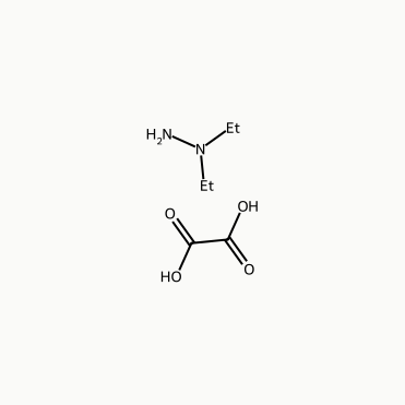 CCN(N)CC.O=C(O)C(=O)O